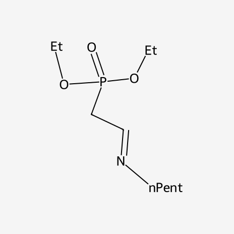 CCCCC/N=C/CP(=O)(OCC)OCC